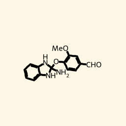 COc1cc(C=O)ccc1OC1(N)Nc2ccccc2N1